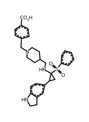 O=C(O)c1ccc(CN2CCC(CNC3(S(=O)(=O)c4ccccc4)CC3c3ccc4c(c3)CCN4)CC2)cc1